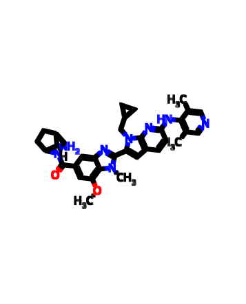 COc1cc(C(=O)N2CC3CCC2[C@@H]3N)cc2nc(-c3cc4ccc(Nc5c(C)cncc5C)nc4n3CC3CC3)n(C)c12